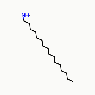 CCCCCCCCCCCCCCCC[NH]